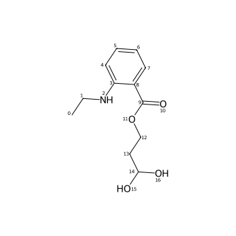 CCNc1ccccc1C(=O)OCCC(O)O